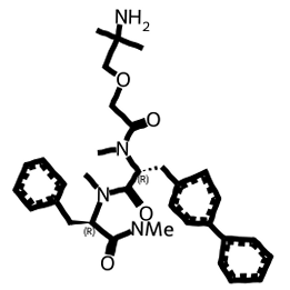 CNC(=O)[C@@H](Cc1ccccc1)N(C)C(=O)[C@@H](Cc1ccc(-c2ccccc2)cc1)N(C)C(=O)COCC(C)(C)N